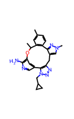 Cc1ccc2c(c1)C(C)Oc1cc(cnc1N)-c1c(nnn1CC1CC1)Cc1cn(C)nc1-2